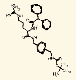 CC(C)(C)OC(=O)NCc1ccc(CNC(=O)[C@@H](CCCNC(=N)N)NC(=O)C(c2ccccc2)c2ccccc2)cc1